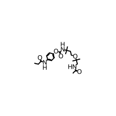 CCC(=O)Nc1ccc(OC(=O)NC(C)(C)CCOC(C)(C)CNC(C)=O)cc1